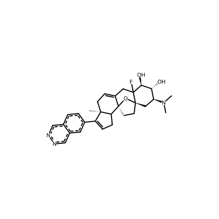 CN(C)[C@H]1C[C@@]23CC[C@@]4(O2)C(=CC[C@]2(C)C(c5ccc6cnncc6c5)=CCC24)CC3(F)[C@@H](O)[C@@H]1O